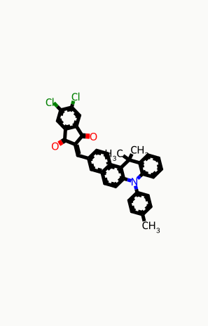 Cc1ccc(N2c3ccccc3C(C)(C)c3c2ccc2cc(C=C4C(=O)c5cc(Cl)c(Cl)cc5C4=O)ccc32)cc1